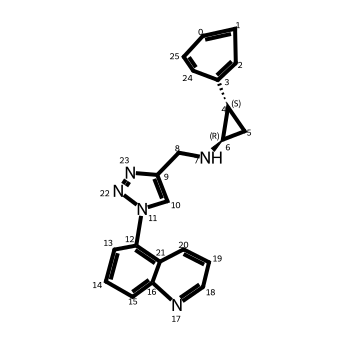 c1ccc([C@@H]2C[C@H]2NCc2cn(-c3cccc4ncccc34)nn2)cc1